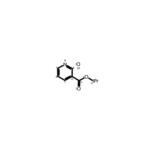 CC(C)OC(=O)c1cccnc1.[O]